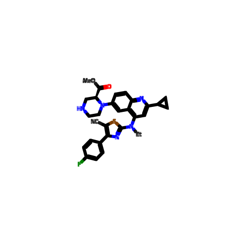 CCN(c1nc(-c2ccc(F)cc2)c(C#N)s1)c1cc(C2CC2)nc2ccc(N3CCNC[C@H]3C(=O)OC)cc12